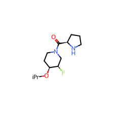 CC(C)O[C@H]1CCN(C(=O)[C@H]2CCCN2)C[C@H]1F